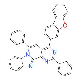 c1ccc(-c2nc(-c3ccc4c(c3)oc3ccccc34)c3cc(-c4ccccc4)n4c5ccccc5nc4c3n2)cc1